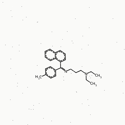 CCN(CC)CCC/N=C(/c1ccc(C)cc1)c1cccc2ccccc12